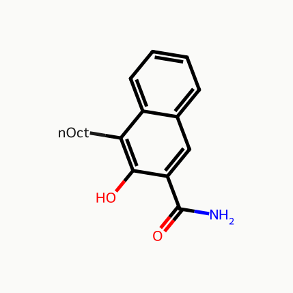 CCCCCCCCc1c(O)c(C(N)=O)cc2ccccc12